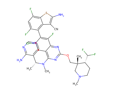 C[C@H](c1cncnc1N)N(C)c1nc(OC[C@@]2(C)CN(C)CC[C@H]2C(F)F)nc2c(F)c(-c3c(F)cc(F)c4sc(N)c(C#N)c34)c(Cl)cc12